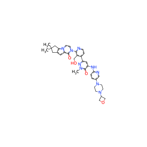 Cn1nc(-c2ccnc(-n3ccn4c5c(cc4c3=O)CC(C)(C)C5)c2CO)cc(Nc2ccc(N3CCN(C4COC4)CC3)cn2)c1=O